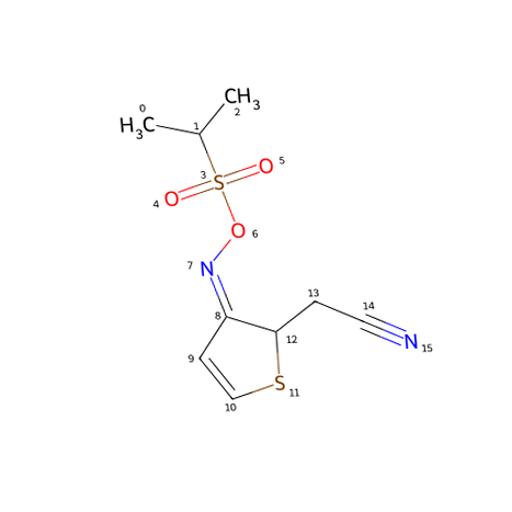 CC(C)S(=O)(=O)ON=C1C=CSC1CC#N